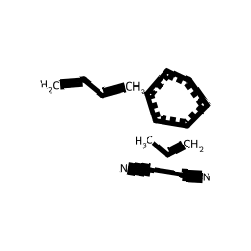 C=CC.C=CC=C.N#CC#N.c1ccccc1